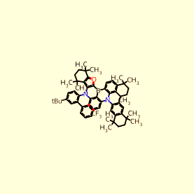 CC(C)(C)c1ccc(N2c3cc(C(F)(F)F)cc4c3B(c3ccc5c6c3N4c3cc4c(cc3C6(C)CCC5(C)C)C(C)(C)CCC4(C)C)c3oc4c(c32)C(C)(C)CCC4(C)C)c(-c2ccccc2)c1